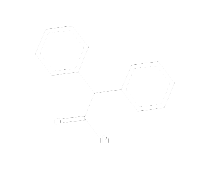 CC(C)C(=O)C(c1ccccc1)c1ccccc1